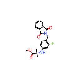 COC(=O)C(C)(C)Nc1ccc(CN2C(=O)c3ccccc3C2=O)c(F)c1